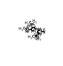 Cc1noc(-c2cnc(Nc3cc(NC(C)(C)C)nc(C(F)F)n3)cc2NC(C)C)n1